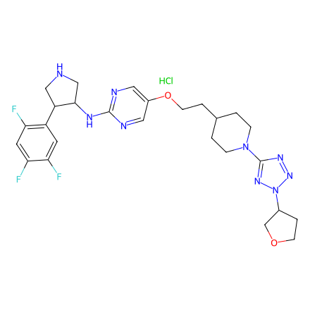 Cl.Fc1cc(F)c(C2CNCC2Nc2ncc(OCCC3CCN(c4nnn(C5CCOC5)n4)CC3)cn2)cc1F